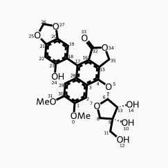 COc1cc2c(O[C@H]3OC[C@](O)(CO)[C@H]3O)c3c(c(-c4cc5c(cc4O)OCO5)c2cc1OC)C(=O)OC3